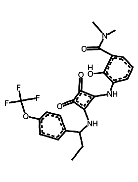 CCC(Nc1c(Nc2cccc(C(=O)N(C)C)c2O)c(=O)c1=O)c1ccc(OC(F)(F)F)cc1